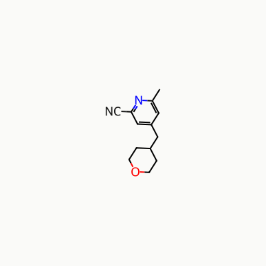 Cc1cc(CC2CCOCC2)cc(C#N)n1